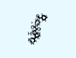 C[C@@H]1CN(C(=O)c2ccccc2)CCN1C(=O)C(=O)C1CNc2c(-c3cncnc3)ccnc21